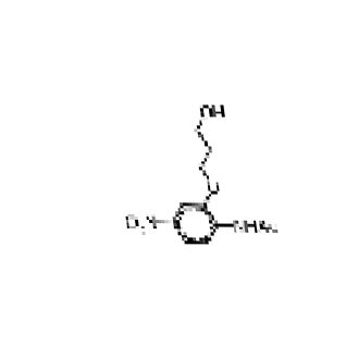 CC(=O)Nc1ccc([N+](=O)[O-])cc1OCCCO